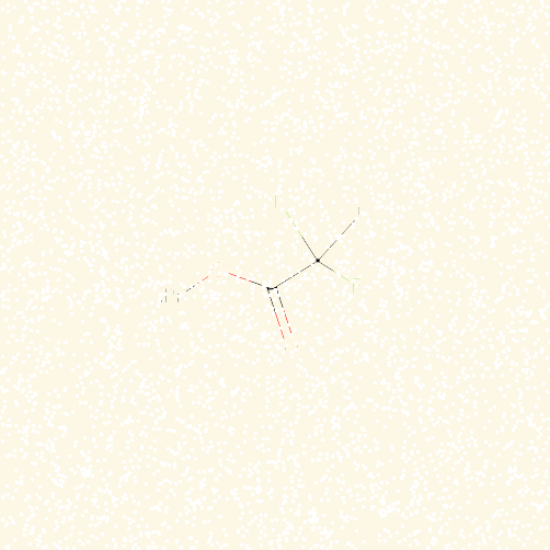 CC(C)OC(=O)C(F)(F)C(F)(F)F